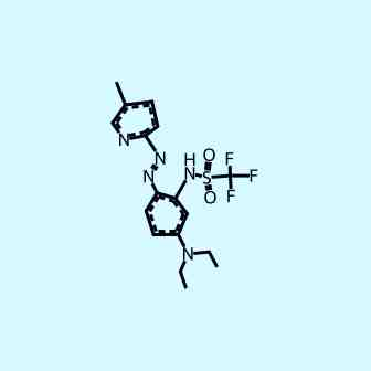 CCN(CC)c1ccc(N=Nc2ccc(C)cn2)c(NS(=O)(=O)C(F)(F)F)c1